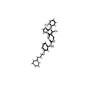 O=c1c2cnc(Nc3cccc(OCCCN4CCCCC4)c3)nc2n2ccnc2n1-c1ccccc1Cl